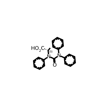 C[C@@H](C(=O)O)N(C(=O)N(c1ccccc1)c1ccccc1)c1ccccc1